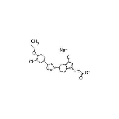 CCCOc1ccc(-c2cn(-c3ccc4c(c3)c(Cl)cn4CCC(=O)[O-])cn2)cc1Cl.[Na+]